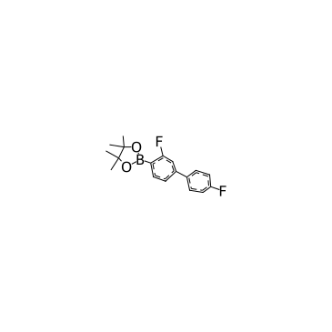 CC1(C)OB(c2ccc(-c3ccc(F)cc3)cc2F)OC1(C)C